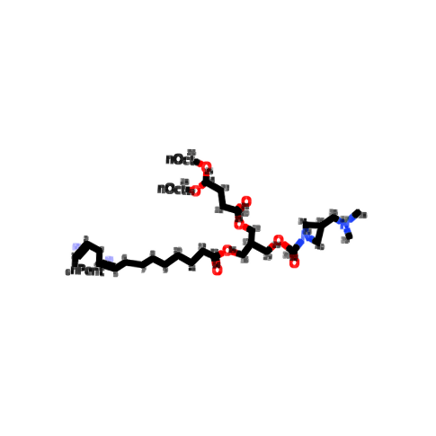 CCCCC/C=C\C/C=C\CCCCCCCC(=O)OCC(COC(=O)CCC(OCCCCCCCC)OCCCCCCCC)COC(=O)N1CC(CN(C)C)C1